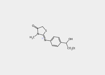 CCOC(=O)C(O)c1ccc(/N=C2\SCC(=O)N2C)cc1